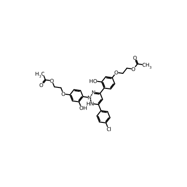 CC(=O)OCCOc1ccc(C2=NN(c3ccc(OCCOC(C)=O)cc3O)NC(c3ccc(Cl)cc3)=C2)c(O)c1